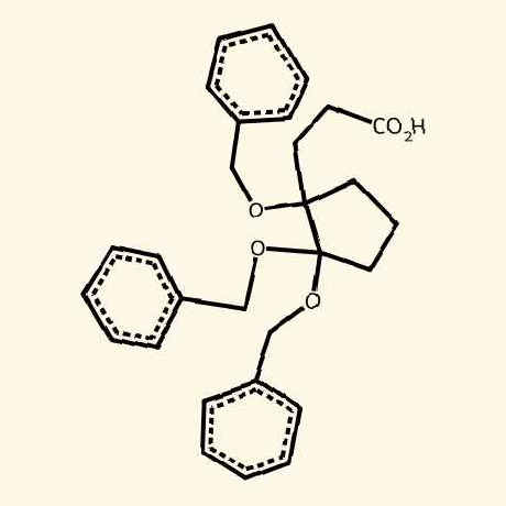 O=C(O)CCC1(OCc2ccccc2)CCCC1(OCc1ccccc1)OCc1ccccc1